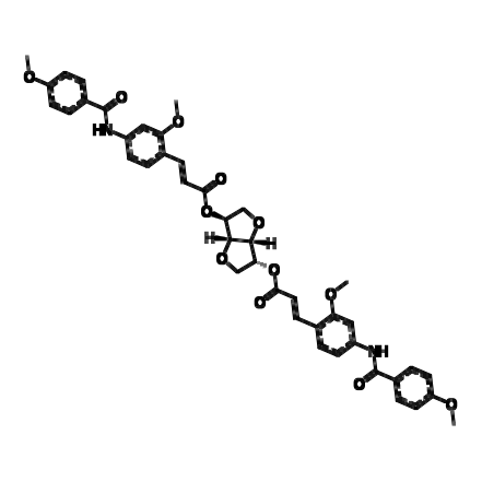 COc1ccc(C(=O)Nc2ccc(/C=C/C(=O)O[C@H]3CO[C@H]4[C@@H]3OC[C@H]4OC(=O)/C=C/c3ccc(NC(=O)c4ccc(OC)cc4)cc3OC)c(OC)c2)cc1